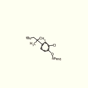 CCCC[CH]Oc1ccc(C(C)(C)CC(C)(C)C)cc1Cl